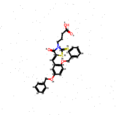 O=C(O)CCCN1C(=O)C(=Cc2cc(OCc3ccccc3)ccc2OCc2ccccc2)SC1=S